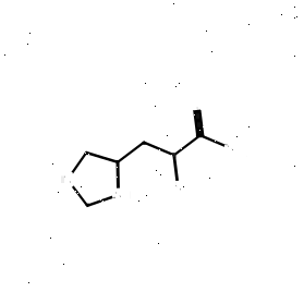 NC(=O)C(N)CC1CNCN1